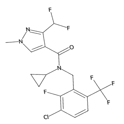 Cn1cc(C(=O)N(Cc2c(C(F)(F)F)ccc(Cl)c2F)C2CC2)c(C(F)F)n1